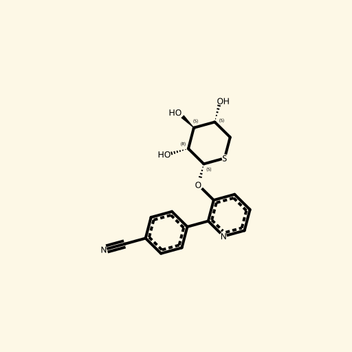 N#Cc1ccc(-c2ncccc2O[C@H]2SC[C@@H](O)[C@H](O)[C@H]2O)cc1